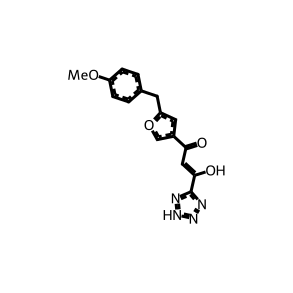 COc1ccc(Cc2cc(C(=O)C=C(O)c3nn[nH]n3)co2)cc1